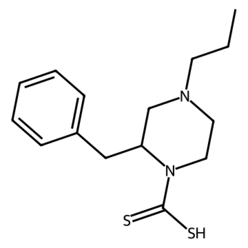 CCCN1CCN(C(=S)S)C(Cc2ccccc2)C1